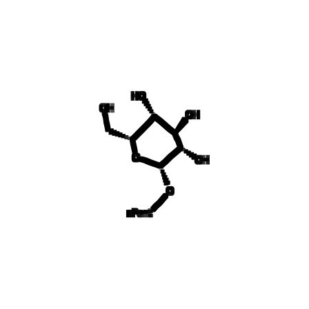 CCCCCO[C@@H]1O[C@H](CO)[C@H](O)[C@@H](O)[C@@H]1O